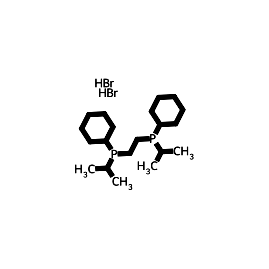 Br.Br.CC(C)P(CCP(C(C)C)C1CCCCC1)C1CCCCC1